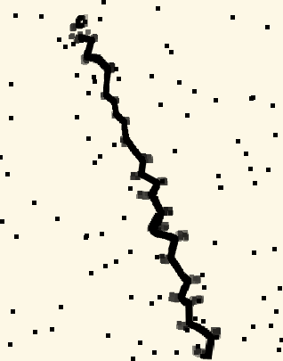 [C].[C]CCCCCCCCCCCCC=CCCCCCCCC